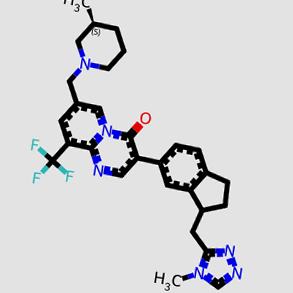 C[C@H]1CCCN(Cc2cc(C(F)(F)F)c3ncc(-c4ccc5c(c4)C(Cc4nncn4C)CC5)c(=O)n3c2)C1